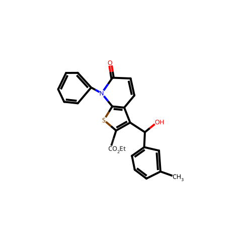 CCOC(=O)c1sc2c(ccc(=O)n2-c2ccccc2)c1C(O)c1cccc(C)c1